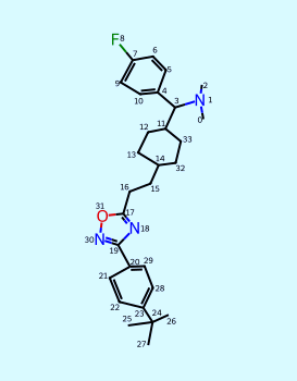 CN(C)C(c1ccc(F)cc1)C1CCC(CCc2nc(-c3ccc(C(C)(C)C)cc3)no2)CC1